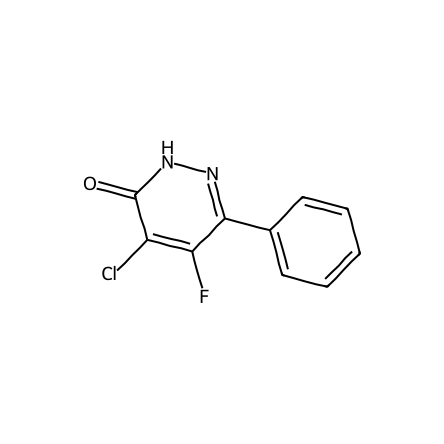 O=c1[nH]nc(-c2ccccc2)c(F)c1Cl